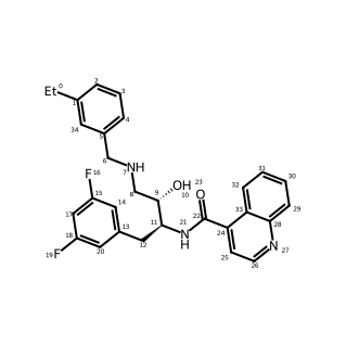 CCc1cccc(CNC[C@H](O)[C@H](Cc2cc(F)cc(F)c2)NC(=O)c2ccnc3ccccc23)c1